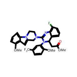 COC(=O)CC1c2cccc(F)c2N=C(N2CCn3c(cc4c(OC)cccc43)C2)N1c1cc(C(F)(F)F)ccc1OC